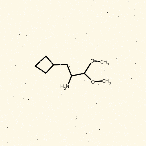 COC(OC)C(N)CC1CCC1